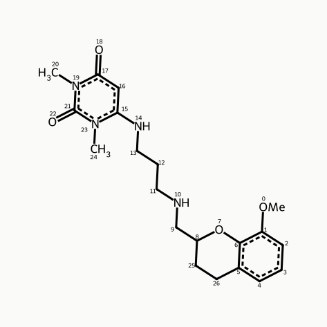 COc1cccc2c1OC(CNCCCNc1cc(=O)n(C)c(=O)n1C)CC2